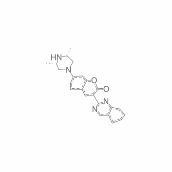 C[C@@H]1CN(c2ccc3cc(-c4ncc5ccccc5n4)c(=O)oc3c2)C[C@H](C)N1